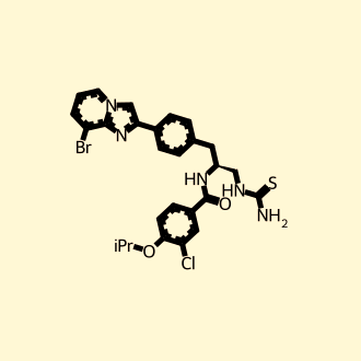 CC(C)Oc1ccc(C(=O)N[C@H](CNC(N)=S)Cc2ccc(-c3cn4cccc(Br)c4n3)cc2)cc1Cl